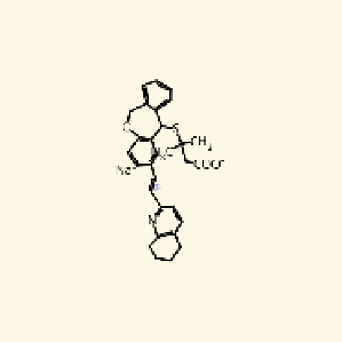 CC(C)(CC(=O)[O-])SC1c2ccccc2COc2ccc(/C=C/c3ccc4c(n3)CCCC4)cc21.[Na+]